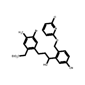 CCOC(=O)Cc1cc(C)c(Br)cc1CCC(O)c1cc(C#N)ccc1COc1cccc(Cl)n1